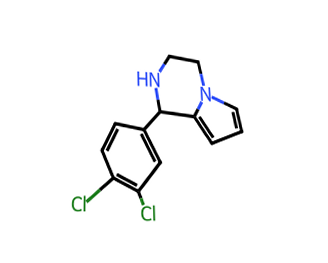 Clc1ccc(C2NCCn3cccc32)cc1Cl